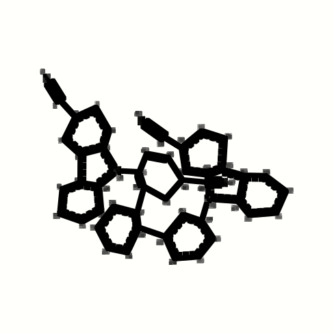 N#Cc1ccc2c(c1)c1ccccc1n2C1=C(c2ccccc2-c2cccc(-n3c4ccccc4c4ccc(C#N)cc43)c2)CC(C#N)C=C1